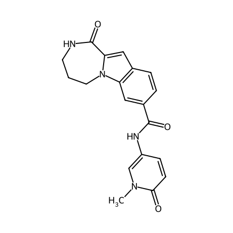 Cn1cc(NC(=O)c2ccc3cc4n(c3c2)CCCNC4=O)ccc1=O